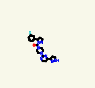 O=C(N1CCN(c2nccc(-c3cc[nH]n3)n2)CC1)N1N=CCC1c1cccc(F)c1